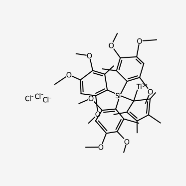 COc1cc(OC)c([Si](c2c(OC)cc(OC)c(OC)c2C)(c2c(OC)cc(OC)c(OC)c2C)[C]2([Ti+3])C(C)=C(C)C(C)=C2C)c(C)c1OC.[Cl-].[Cl-].[Cl-]